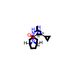 CC(C)N[C@H]1C[C@H]2CC[C@@H](C1)N2C(=O)[C@H]1N[C@H]1C1CC1